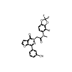 CN(C(=O)Cn1nc(-c2cccc(C#N)c2)c2occc2c1=O)c1ccc2c(c1F)OC(F)(F)O2